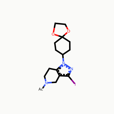 CC(=O)N1CCc2c(c(I)nn2C2CCC3(CC2)OCCO3)C1